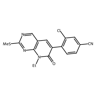 CCn1c(=O)c(-c2ccc(C#N)cc2Cl)cc2cnc(SC)nc21